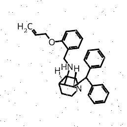 C=CCOc1ccccc1CN[C@@H]1C2CCN(CC2)[C@H]1C(c1ccccc1)c1ccccc1